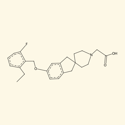 CCc1cccc(F)c1COc1ccc2c(c1)CC1(CCN(CC(=O)O)CC1)C2